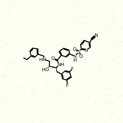 CCc1cccc(CNC[C@@H](O)[C@H](Cc2cc(F)cc(F)c2)NC(=O)c2cccc(NS(=O)(=O)c3ccc(C#N)cn3)c2)c1